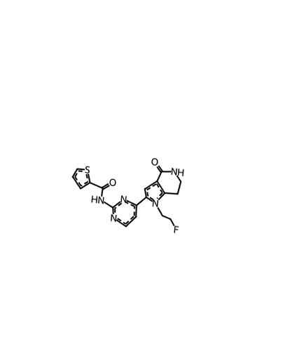 O=C(Nc1nccc(-c2cc3c(n2CCF)CCNC3=O)n1)c1cccs1